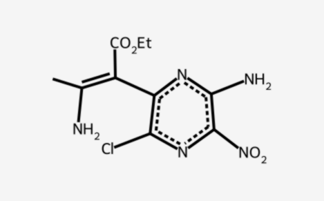 CCOC(=O)C(=C(C)N)c1nc(N)c([N+](=O)[O-])nc1Cl